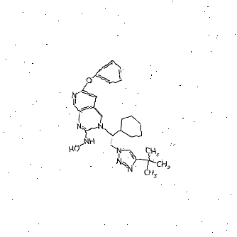 CC(C)(C)c1cn(C[C@@H](C2CCCCC2)N2Cc3cc(Oc4ccccc4)ncc3N=C2NO)nn1